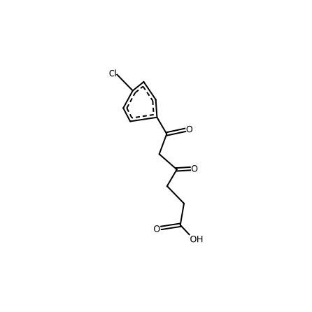 O=C(O)CCC(=O)CC(=O)c1ccc(Cl)cc1